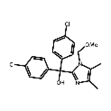 COCn1c(C(O)(c2ccc(Cl)cc2)c2ccc(Cl)cc2)nc(C)c1C